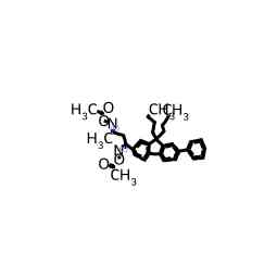 CCCCC1(CCCC)c2cc(/C(C/C(C)=N/OC(C)=O)=N\OC(C)=O)ccc2-c2ccc(-c3ccccc3)cc21